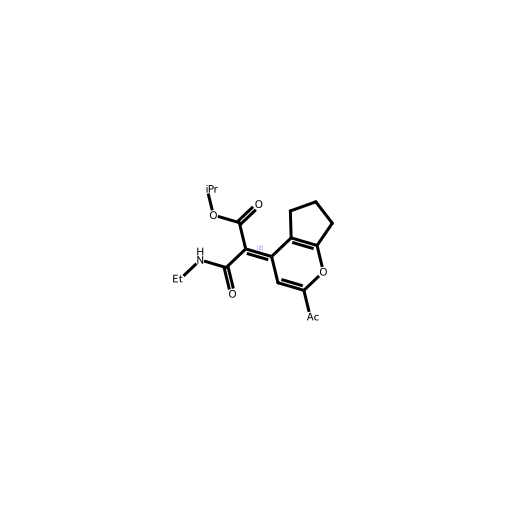 CCNC(=O)/C(C(=O)OC(C)C)=C1\C=C(C(C)=O)OC2=C1CCC2